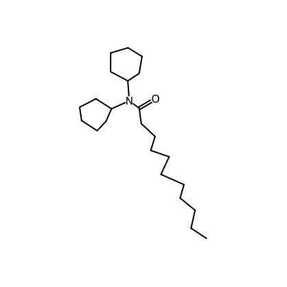 CCCCCCCCCCC(=O)N(C1CCCCC1)C1CCCCC1